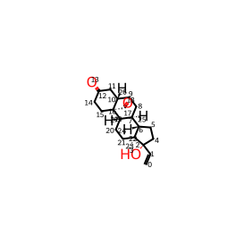 C=C[C@]1(O)CC[C@H]2[C@@H]3CC[C@H]4CC(=O)CC[C@]4(C=O)[C@H]3CC[C@@]21C